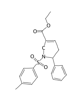 CCOC(=O)C1=CCC(c2ccccc2)N(S(=O)(=O)c2ccc(C)cc2)C1